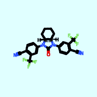 N#Cc1ccc(N2C(=O)N(c3ccc(C#N)c(C(F)(F)F)c3)[C@@H]3CCCC[C@H]32)cc1C(F)(F)F